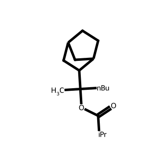 CCCCC(C)(OC(=O)C(C)C)C1CC2CCC1C2